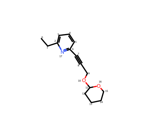 CCc1cccc(C#CCOC2CCCCO2)n1